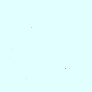 CNc1nc(N2CCCCCCC2)ccc1C(=N)C(=N)OC(=N)C1CCN(CC(F)F)C1